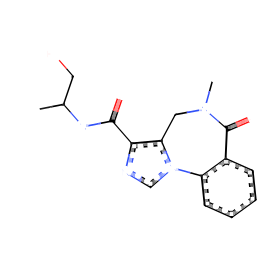 CN1Cc2c(C(=O)NC(CO)C(=O)O)ncn2-c2ccccc2C1=O